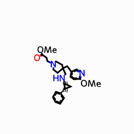 COC(=O)CCN1CCC(CN[C@@H]2C[C@H]2c2ccccc2)(Cc2ccc(OC)nc2)CC1